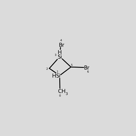 C[SiH]1C[SiH](Br)C1Br